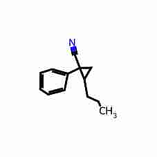 CCCC1CC1(C#N)c1ccccc1